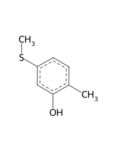 CSc1ccc(C)c(O)c1